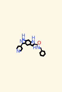 O=C(NCc1ccccc1)c1cc2cc3c(-c4ccncc4)n[nH]c3cc2[nH]1